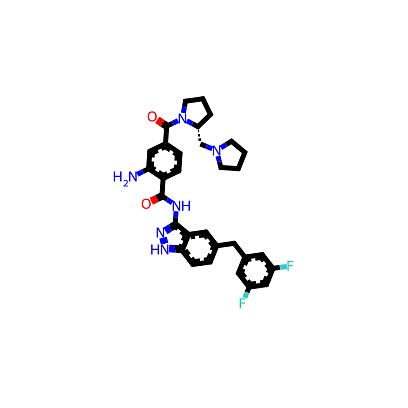 Nc1cc(C(=O)N2CCC[C@@H]2CN2CCCC2)ccc1C(=O)Nc1n[nH]c2ccc(Cc3cc(F)cc(F)c3)cc12